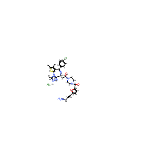 Cc1sc2c(c1C)C(c1ccc(Cl)cc1)=N[C@@H](CC(=O)N1CCN(C(=O)c3ccc(C#CCN)o3)CC1)c1nnc(C)n1-2.Cl